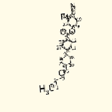 CCCCOCC1CCC(c2ccc(C(=O)Oc3ccc(C#N)c(F)c3)cc2)CC1